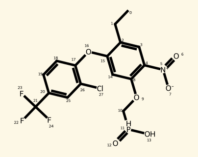 CCc1cc([N+](=O)[O-])c(OC[PH](=O)O)cc1Oc1ccc(C(F)(F)F)cc1Cl